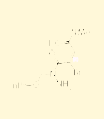 C=C(/C=C(/Br)C(=O)N(N)COCCC)NC